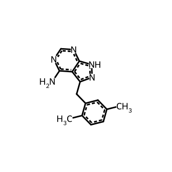 Cc1ccc(C)c(Cc2n[nH]c3ncnc(N)c23)c1